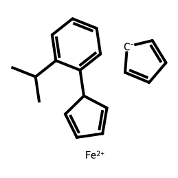 CC(C)c1ccccc1C1C=CC=C1.[Fe+2].c1cc[cH-]c1